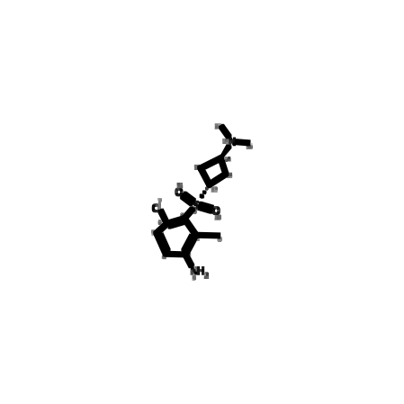 Cc1c(N)ccc(Cl)c1S(=O)(=O)[C@H]1C[C@H](N(C)C)C1